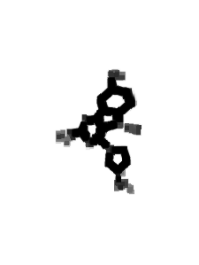 CC(C)(C)C1CCc2sc3c(N4CC[C@@H](N)C4)nc(N)nc3c2C1.Cl